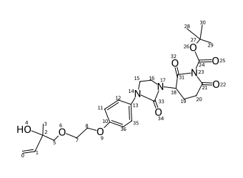 C=CC(C)(O)COCCOc1ccc(N2CCN(C3CCC(=O)N(C(=O)OC(C)(C)C)C3=O)C2=O)cc1